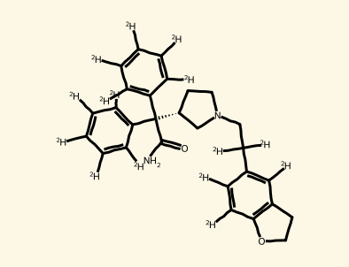 [2H]c1c([2H])c([2H])c(C(C(N)=O)(c2c([2H])c([2H])c([2H])c([2H])c2[2H])[C@@H]2CCN(CC([2H])([2H])c3c([2H])c([2H])c4c(c3[2H])CCO4)C2)c([2H])c1[2H]